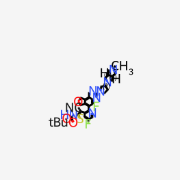 CN1C[C@@H]2CN([C@@H]3CCN(c4ncc5c6c(c(-c7ncc(F)c8sc(NC(=O)OC(C)(C)C)c(C#N)c78)c(F)c5n4)COC6)C3)C[C@@H]2C1